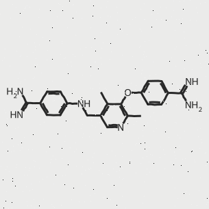 Cc1ncc(CNc2ccc(C(=N)N)cc2)c(C)c1Oc1ccc(C(=N)N)cc1